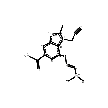 C#CCn1c(C)nc2cc(C(=C)CCC)cc(S/N=C/N(C)C)c21